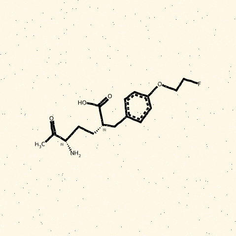 CC(=O)[C@@H](N)CC[C@@H](Cc1ccc(OCCF)cc1)C(=O)O